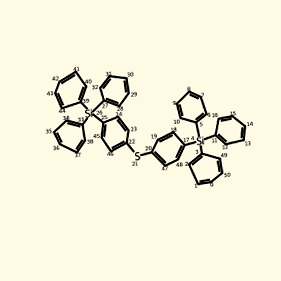 c1ccc([Si](c2ccccc2)(c2ccccc2)c2ccc(Sc3ccc([Si](c4ccccc4)(c4ccccc4)c4ccccc4)cc3)cc2)cc1